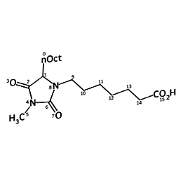 CCCCCCCCC1C(=O)N(C)C(=O)N1CCCCCCC(=O)O